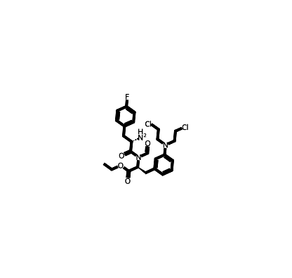 CCOC(=O)[C@H](Cc1cccc(N(CCCl)CCCl)c1)N(C=O)C(=O)[C@@H](N)Cc1ccc(F)cc1